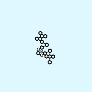 c1ccc(-c2c3ccccc3c(-c3ccccc3-c3ccc4c(c3)B3c5cc(-c6ccccc6-c6ccc7c8ccccc8c8c9ccccc9c9ccccc9c8c7c6)ccc5Oc5cccc(c53)O4)c3ccccc23)cc1